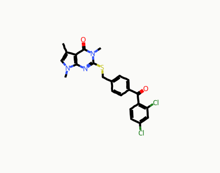 Cc1cn(C)c2nc(SCc3ccc(C(=O)c4ccc(Cl)cc4Cl)cc3)n(C)c(=O)c12